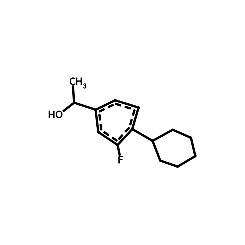 CC(O)c1ccc(C2CCCCC2)c(F)c1